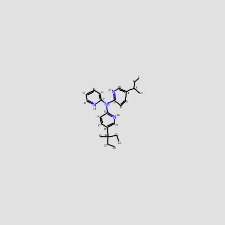 CCC(C)c1ccc(N(c2ccccn2)c2ccc(C(C)(CC)CC)cn2)nc1